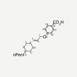 CCCCC[C@H]1CC[C@H](C=CCOc2ccc(C(=O)O)cc2)CC1